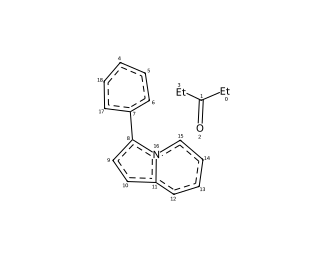 CCC(=O)CC.c1ccc(-c2ccc3ccccn23)cc1